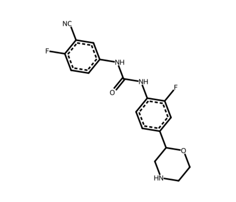 N#Cc1cc(NC(=O)Nc2ccc(C3CNCCO3)cc2F)ccc1F